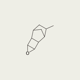 CC1CC2CC1C1C3OC3C21